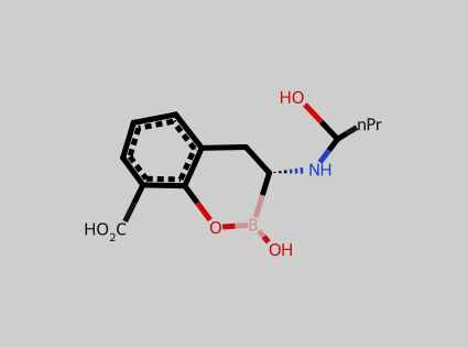 CCCC(O)N[C@H]1Cc2cccc(C(=O)O)c2OB1O